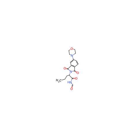 CCCC(C(=O)NC=O)N1C(=O)c2ccc(N3CCOCC3)cc2C1=O